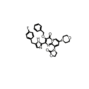 O=C1OCCN1c1cc(N2CCOCC2)cn2c(=O)c(OCc3ccccc3)c(-c3ncc(Cc4ccc(F)cc4)[nH]3)nc12